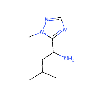 CC(C)CC(N)c1ncnn1C